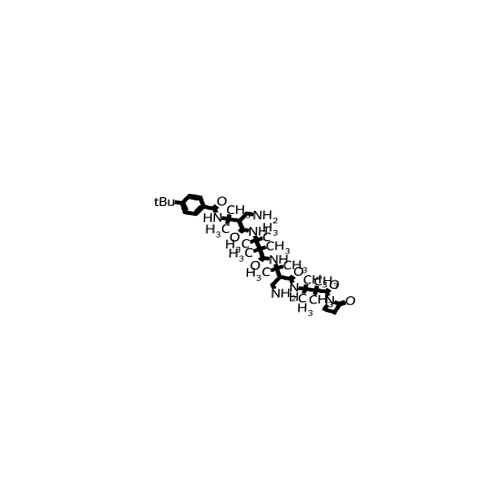 CC(C)(C)c1ccc(C(=O)NC(C)(C)C(CN)C(=O)NC(C)(C)C(C)(C)C(=O)NC(C)(C)C(CN)C(=O)NC(C)(C)C(C)(C)C(=O)N2CCC2=O)cc1